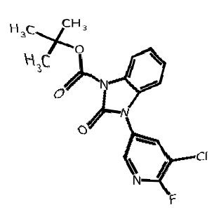 CC(C)(C)OC(=O)n1c(=O)n(-c2cnc(F)c(Cl)c2)c2ccccc21